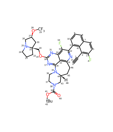 C#Cc1c(F)ccc2cccc(-c3nc4c5c(nc(OC[C@@]67CCCN6C[C@@H](OC(F)(F)F)C7)nc5c3F)N3CCN(C(=O)OC(C)(C)C)C[C@H]3CC4)c12